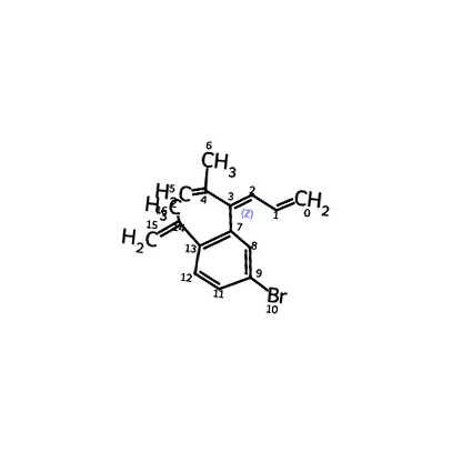 C=C/C=C(/C(=C)C)c1cc(Br)ccc1C(=C)C